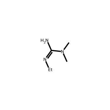 CCN=C(N)N(C)C